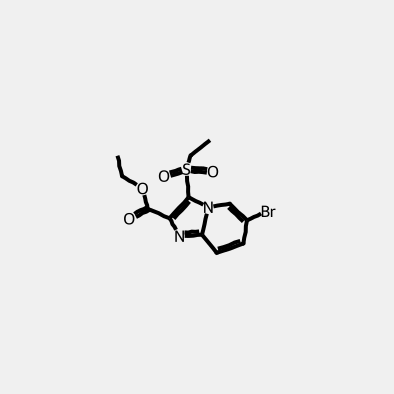 CCOC(=O)c1nc2ccc(Br)cn2c1S(=O)(=O)CC